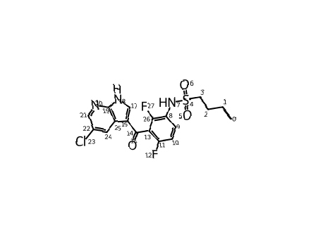 CCCCS(=O)(=O)Nc1ccc(F)c(C(=O)c2c[nH]c3ncc(Cl)cc23)c1F